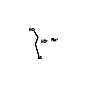 [CH2]CCCO.[Na+].[OH-]